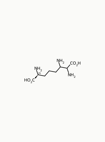 NC(CCC[C@H](N)C(=O)O)C(N)C(=O)O